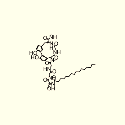 CCCCCCCCCCCCCCCC(=O)N(C)[C@H](CO)C(=O)NCC(=O)NCC(=O)N(C)C1C(=O)NCC(=O)N[C@H](C(=O)NC)Cc2ccc(O)c(c2)-c2cc1ccc2O